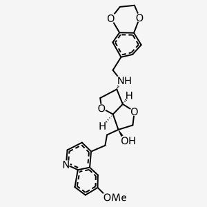 COc1ccc2nccc(CC[C@@]3(O)CO[C@@H]4[C@@H](NCc5ccc6c(c5)OCCO6)CO[C@@H]43)c2c1